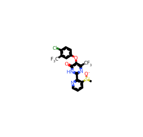 C[S+]([O-])c1cccnc1-c1nc(C(F)(F)F)c(Oc2ccc(Cl)c(C(F)(F)F)c2)c(=O)[nH]1